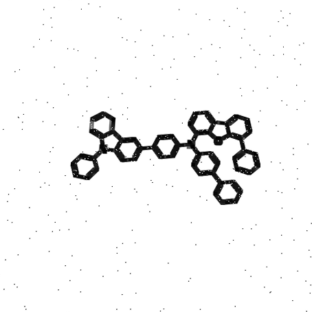 c1ccc(-c2ccc(N(c3ccc(-c4ccc5c(c4)c4ccccc4n5-c4ccccc4)cc3)c3cccc4c3oc3c(-c5ccccc5)cccc34)cc2)cc1